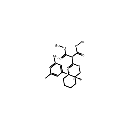 CC(C)(C)OC(=O)N(C(=O)OC(C)(C)C)C1=N[C@@]2(c3cc(N)cc(Cl)c3)CCCC[C@H]2CS1